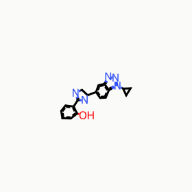 Oc1ccccc1C1=NCC(c2ccc3c(c2)nnn3C2CC2)=N1